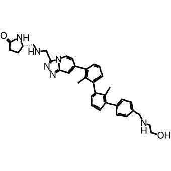 Cc1c(-c2ccc(CNCCO)cc2)cccc1-c1cccc(-c2ccn3c(CNC[C@@H]4CCC(=O)N4)nnc3c2)c1C